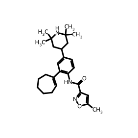 Cc1cc(C(=O)Nc2ccc(C3CC(C)(C)NC(C)(C)C3)cc2C2=CCCCCC2)no1